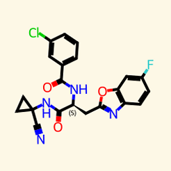 N#CC1(NC(=O)[C@H](Cc2nc3ccc(F)cc3o2)NC(=O)c2cccc(Cl)c2)CC1